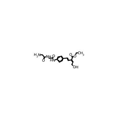 CCOC(=O)C(/C=C/c1ccc(NC(=O)CNC(=O)CN)cc1)=C/CO